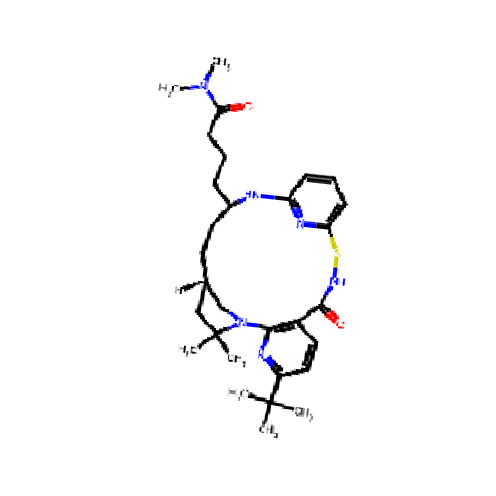 CN(C)C(=O)CCCC1CC[C@@H]2CN(c3nc(C(C)(C)C)ccc3C(=O)NSc3cccc(n3)N1)C(C)(C)C2